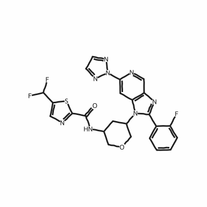 O=C(NC1COCC(n2c(-c3ccccc3F)nc3cnc(-n4nccn4)cc32)C1)c1ncc(C(F)F)s1